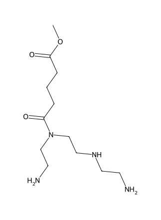 COC(=O)CCCC(=O)N(CCN)CCNCCN